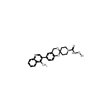 CCONC(=O)N1CCC2(CC1)OCc1cc(-c3cnc4ccccc4c3C)ccc1O2